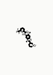 COc1cc2nc(C3CCC[S+]([O-])C3)n(C)c2cc1NC(=O)c1cccc(C(F)(F)F)n1